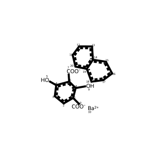 O=C([O-])c1ccc(O)c(C(=O)[O-])c1O.[Ba+2].c1ccc2ccccc2c1